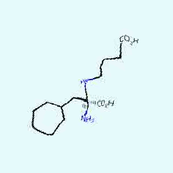 N[C@@](CC1CCCCC1)(NCCCC(=O)O)C(=O)O